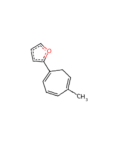 CC1=CCC(c2ccco2)=CC=C1